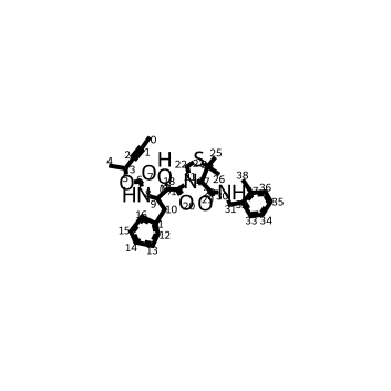 CC#CC(C)OC(=O)NC(Cc1ccccc1)[C@H](O)C(=O)N1CSC(C)(C)C1C(=O)NCc1ccccc1C